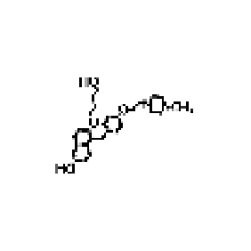 CN1CCN(CCOc2ccc(Cc3c(OCCCCO)ccc4cc(O)ccc34)cc2)CC1